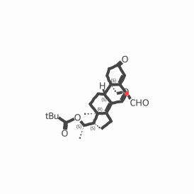 C[C@H](OC(=O)C(C)(C)C)[C@H]1CCC2=C3C=CC4=CC(=O)CC[C@]4(COC=O)[C@H]3CC[C@@]21C